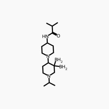 BC1(B)CN(C(C)C)CCC1N1CCC(NC(=O)C(C)C)CC1